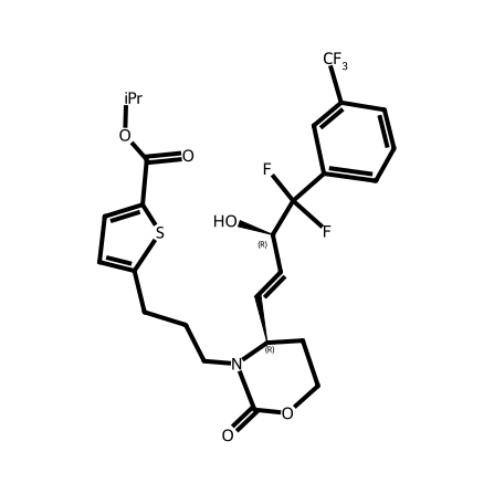 CC(C)OC(=O)c1ccc(CCCN2C(=O)OCC[C@@H]2C=C[C@@H](O)C(F)(F)c2cccc(C(F)(F)F)c2)s1